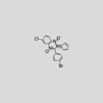 [O-][n+]1c(-c2ccc(Br)cc2)c([SH]2C=CC=C2)[n+]([O-])c2ccc(Cl)cc21